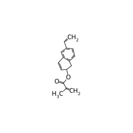 C=Cc1ccc2c(c1)C=CC(OC(=O)C(=C)C)C2